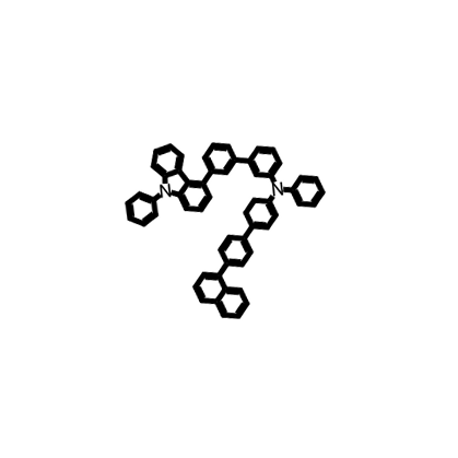 C1=C(c2ccc(-c3cccc4ccccc34)cc2)CCC(N(c2ccccc2)c2cccc(-c3cccc(-c4cccc5c4c4ccccc4n5-c4ccccc4)c3)c2)=C1